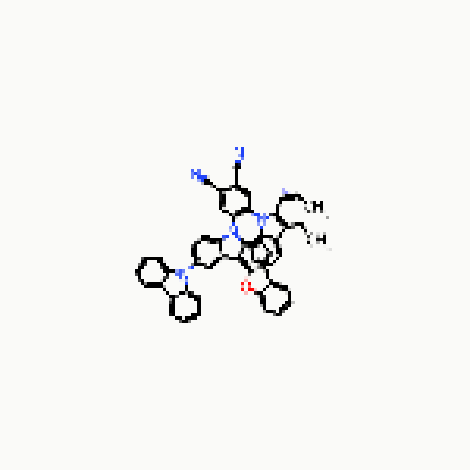 C/C=C\c1c(CC)c2ccccc2n1-c1cc(C#N)c(C#N)cc1-n1c2ccc(-n3c4ccccc4c4ccccc43)cc2c2c3oc4ccccc4c3ccc21